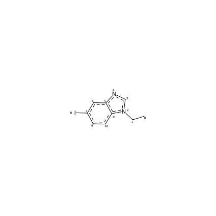 CCn1cnc2cc(I)ccc21